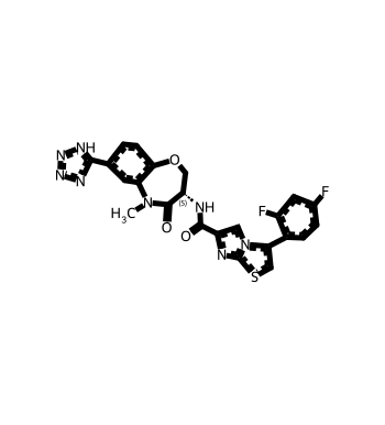 CN1C(=O)[C@@H](NC(=O)c2cn3c(-c4ccc(F)cc4F)csc3n2)COc2ccc(-c3nnn[nH]3)cc21